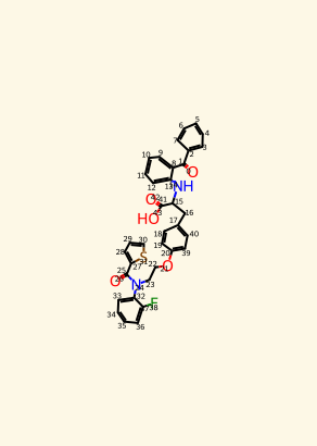 O=C(c1ccccc1)c1ccccc1NC(Cc1ccc(OCCN(C(=O)c2cccs2)c2ccccc2F)cc1)C(=O)O